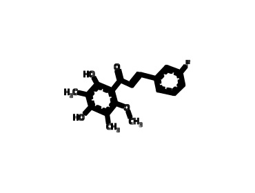 COc1c(C)c(O)c(C)c(O)c1C(=O)/C=C/c1cccc(F)c1